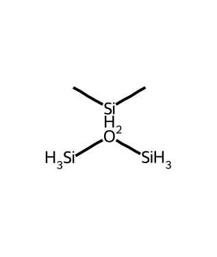 C[SiH2]C.[SiH3]O[SiH3]